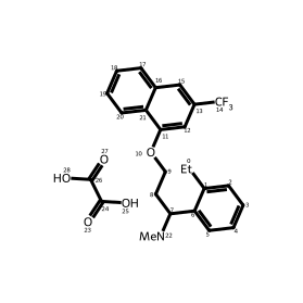 CCc1ccccc1C(CCOc1cc(C(F)(F)F)cc2ccccc12)NC.O=C(O)C(=O)O